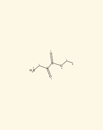 BCC(=O)C(=O)OCC